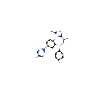 Cc1nnc2n1-c1ccc(-c3ncc(N)cn3)cc1N(c1ccc(Cl)cc1)CC2C